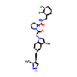 CC(=O)c1cn(CC(=O)N2CCC[C@H]2C(=O)NCc2cccc(Cl)c2F)c2ccc(C#Cc3c[nH]nc3C#N)cc12